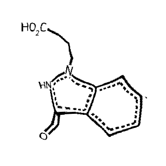 O=C(O)Cn1[nH]c(=O)c2cc[c]cc21